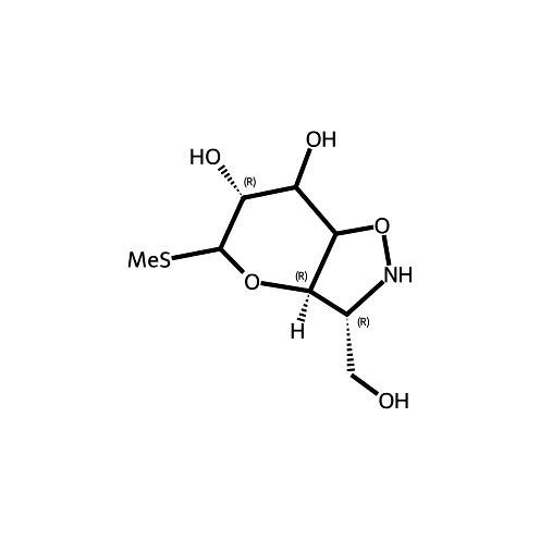 CSC1O[C@H]2C(ON[C@@H]2CO)C(O)[C@H]1O